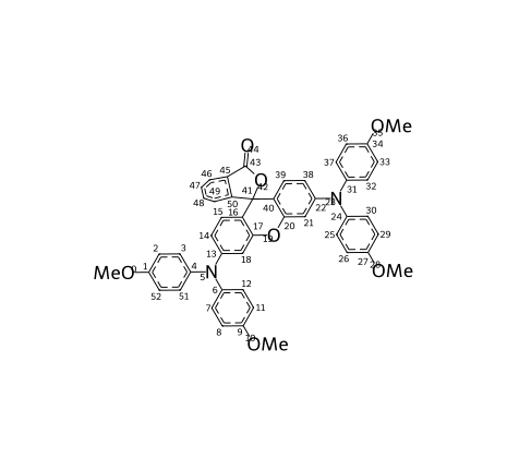 COc1ccc(N(c2ccc(OC)cc2)c2ccc3c(c2)Oc2cc(N(c4ccc(OC)cc4)c4ccc(OC)cc4)ccc2C32OC(=O)c3ccccc32)cc1